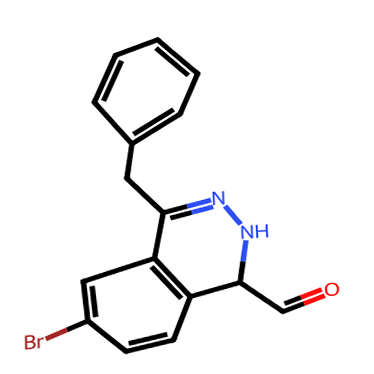 O=CC1NN=C(Cc2ccccc2)c2cc(Br)ccc21